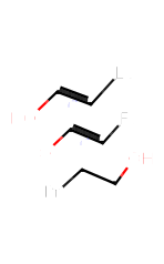 CC(C)CCO.CC/C=C/O.CC/C=C/O